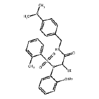 CCC(C(=O)NCc1ccc(N(C)C)cc1)N(c1ccccc1OC)S(=O)(=O)c1ccccc1C